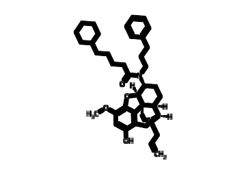 C=CCN1CC[C@]23c4c5c(O)cc(OC)c4O[C@H]2[C@@H](N(CCCc2ccccc2)C(=O)CCCCC2CCCCC2)CC[C@H]3[C@H]1C5